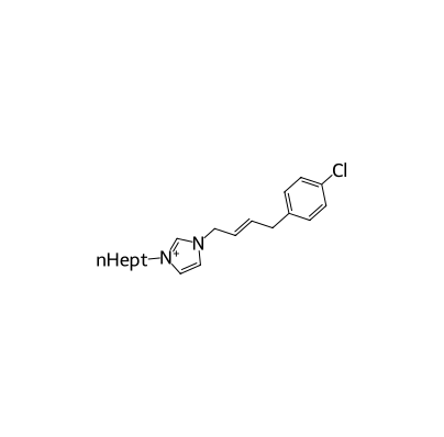 CCCCCCC[n+]1ccn(CC=CCc2ccc(Cl)cc2)c1